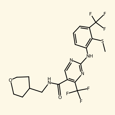 CSc1c(Nc2ncc(C(=O)NCC3CCOCC3)c(C(F)(F)F)n2)cccc1C(F)(F)F